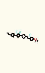 C/C=C/c1ccc(-c2ccc(C3CCC(/C=C/c4ccc(OCC)cc4F)CC3)c(F)c2F)cc1